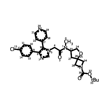 CN(C(=O)Cn1cnc(-c2ccc(Cl)cc2)c1-c1ccncc1)C1COC2(C1)CN(C(=O)OC(C)(C)C)C2